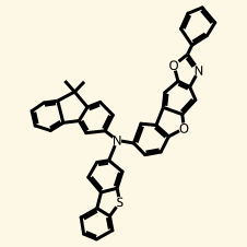 CC1(C)c2ccccc2-c2cc(N(c3ccc4c(c3)sc3ccccc34)c3ccc4oc5cc6nc(-c7ccccc7)oc6cc5c4c3)ccc21